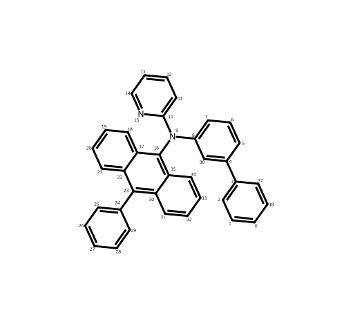 c1ccc(-c2cccc(N(c3ccccn3)c3c4ccccc4c(-c4ccccc4)c4ccccc34)c2)cc1